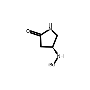 CCC(C)N[C@@H]1CNC(=O)C1